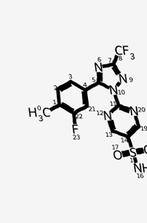 Cc1ccc(-c2nc(C(F)(F)F)nn2-c2ncc(S(N)(=O)=O)cn2)cc1F